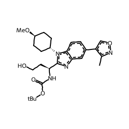 CO[C@H]1CC[C@H](n2c([C@H](CCO)NC(=O)OC(C)(C)C)nc3cc(-c4conc4C)ccc32)CC1